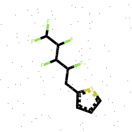 FC(F)C(F)C(F)C(F)Cc1cccs1